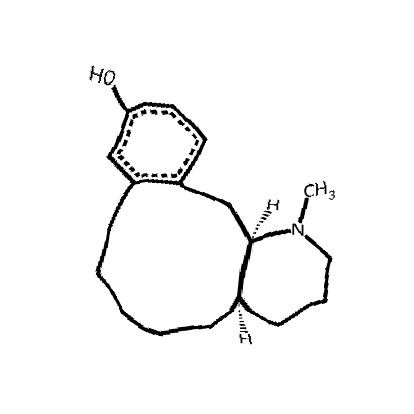 CN1CCC[C@H]2CCCCCc3cc(O)ccc3C[C@H]21